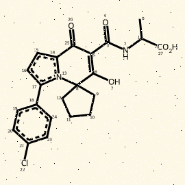 CC(NC(=O)C1=C(O)C2(CCCC2)n2c(ccc2-c2ccc(Cl)cc2)C1=O)C(=O)O